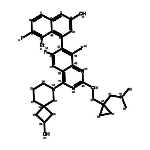 CCc1c(F)ccc2cc(O)cc(-c3c(F)cc4c(N5CCCC6(CC(O)C6)C5)nc(OCC5(CN(C)C)CC5)nc4c3F)c12